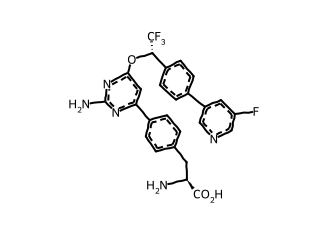 Nc1nc(O[C@@H](c2ccc(-c3cncc(F)c3)cc2)C(F)(F)F)cc(-c2ccc(C[C@H](N)C(=O)O)cc2)n1